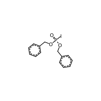 O=P(I)(OCc1ccccc1)OCc1ccccc1